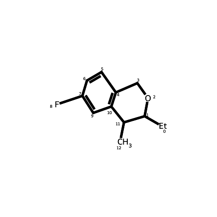 CCC1OCc2ccc(F)cc2C1C